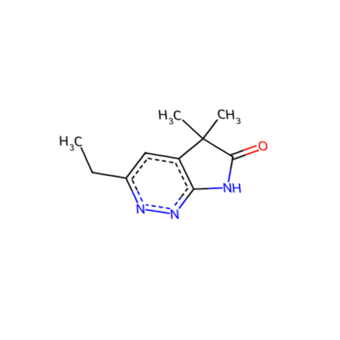 CCc1cc2c(nn1)NC(=O)C2(C)C